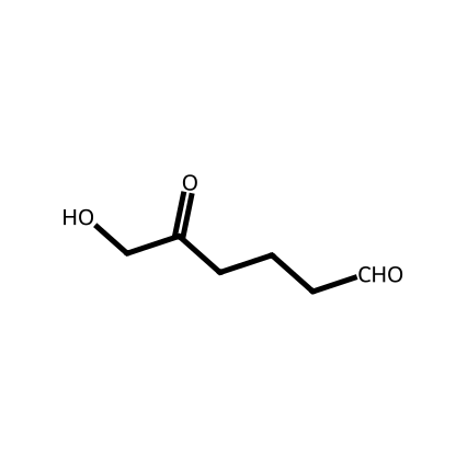 O=CCCCC(=O)CO